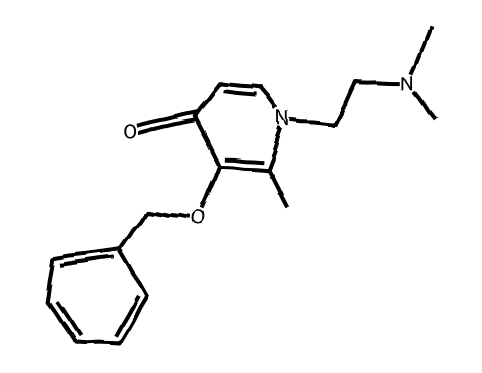 Cc1c(OCc2ccccc2)c(=O)ccn1CCN(C)C